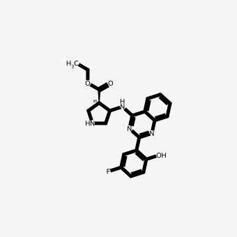 CCOC(=O)[C@@H]1CNCC1Nc1nc(-c2cc(F)ccc2O)nc2ccccc12